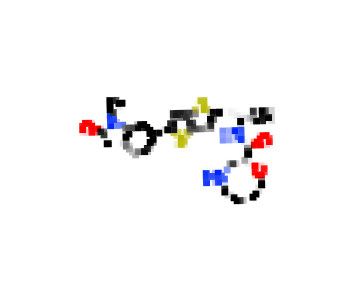 CCN1C(=O)Cc2ccc(-c3cc4sc(C[C@H](C#N)NC(=O)[C@@H]5CNCCCCO5)cc4s3)cc21